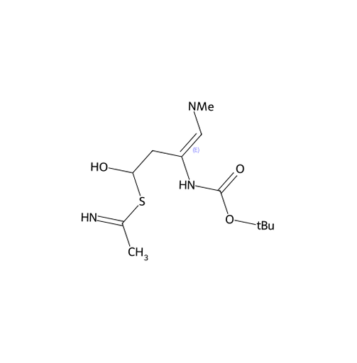 CN/C=C(\CC(O)SC(C)=N)NC(=O)OC(C)(C)C